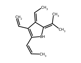 C=CC1=C(/C=C\C)BC(=C(C)C)/C1=C\C